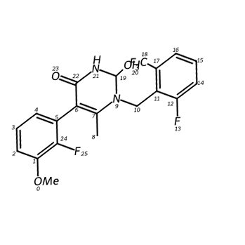 COc1cccc(C2=C(C)N(Cc3c(F)cccc3C(F)(F)F)C(O)NC2=O)c1F